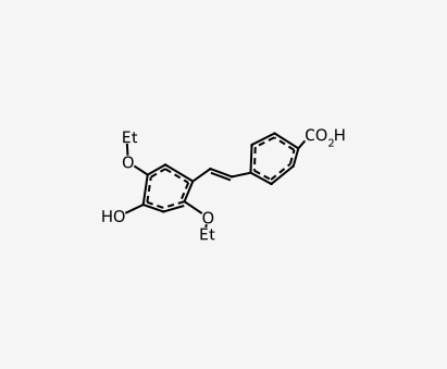 CCOc1cc(C=Cc2ccc(C(=O)O)cc2)c(OCC)cc1O